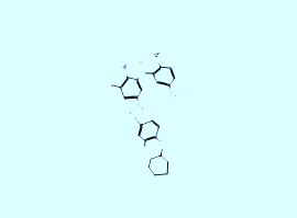 CCCCSc1ccc([N+](=O)[O-])cc1Cl.CCSc1ccc([N+](=O)[O-])cc1Cl.O=[N+]([O-])c1ccc(SC2CCCCC2)c(Cl)c1